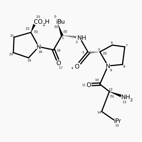 CC[C@H](C)[C@H](NC(=O)[C@@H]1CCCN1C(=O)[C@@H](N)CC(C)C)C(=O)N1CCC[C@H]1C(=O)O